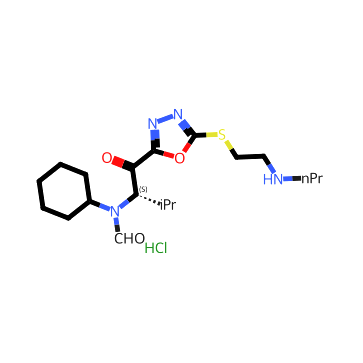 CCCNCCSc1nnc(C(=O)[C@H](C(C)C)N(C=O)C2CCCCC2)o1.Cl